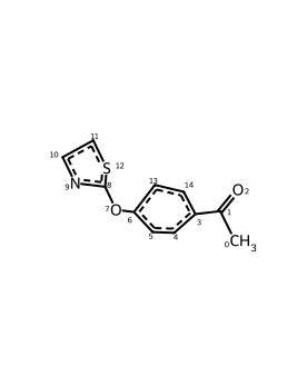 CC(=O)c1ccc(Oc2nccs2)cc1